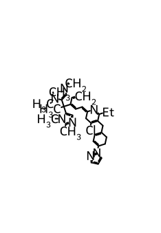 C=C/C(=C\C=C1/CC(Cl)=C(CC2=CC=C(n3cccn3)CC2)C(CC)=N1)C(C)(/C(=C/N=C)N(C)C)c1cnc(C)n1C